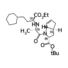 CCOC(=O)[C@H](CCC1CCCCC1)N[C@@H](C)C(=O)N1[C@@H](C(=O)OC(C)(C)C)C[C@@H]2CC=C[C@H]21